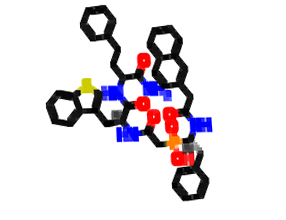 NC(=O)C(CCc1ccccc1)NC(=O)[C@H](Cc1csc2ccccc12)NC(=O)CP(=O)(O)[C@@H](Cc1ccccc1)NC(=O)Cc1ccc2ccccc2c1